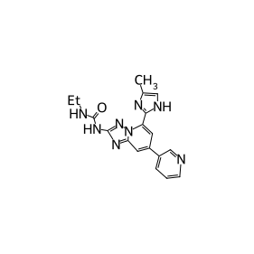 CCNC(=O)Nc1nc2cc(-c3cccnc3)cc(-c3nc(C)c[nH]3)n2n1